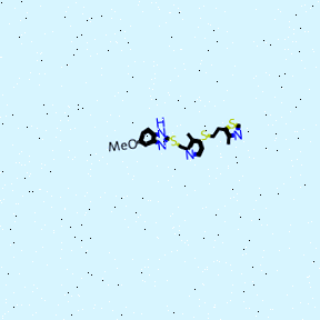 COc1ccc2[nH]c(SCc3nccc(SCCc4scnc4C)c3C)nc2c1